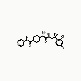 NC(C(=O)NCC1(c2ccc(F)cc2Cl)CC1)C1CCC(C(=O)Nc2ccncc2)CC1